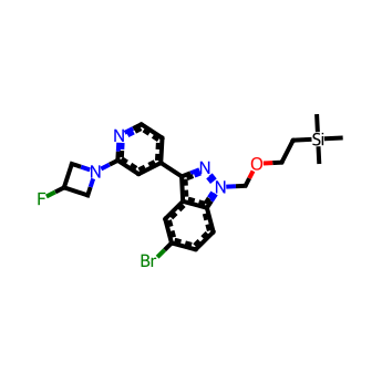 C[Si](C)(C)CCOCn1nc(-c2ccnc(N3CC(F)C3)c2)c2cc(Br)ccc21